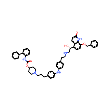 O=C(Nc1ccccc1-c1ccccc1)OC1CCN(CCCc2ccc(Nc3ccc(CCNC[C@H](O)c4ccc(OCc5ccccc5)c5[nH]c(=O)ccc45)cc3)cc2)CC1